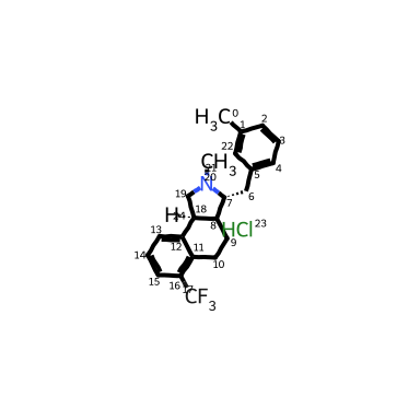 Cc1cccc(C[C@@H]2C3CCc4c(cccc4C(F)(F)F)[C@H]3CN2C)c1.Cl